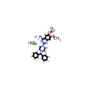 COc1cc2nc(N3CCN(C(c4ccccc4)c4ccccc4)CC3)nc(N)c2cc1OC.Cl.Cl